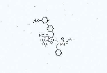 Cc1ccnc(-c2ccc(C[C@H]3[C@H](C[C@@H](Cc4ccccc4)NC(=O)OC(C)(C)C)OC(C)(C)N3C(=O)O)cc2)c1